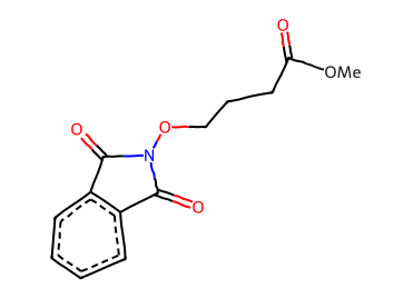 COC(=O)CCCON1C(=O)c2ccccc2C1=O